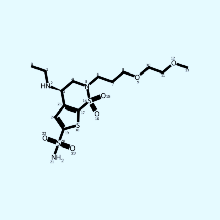 CCN[C@H]1CN(CCCOCCOC)S(=O)(=O)c2sc(S(N)(=O)=O)cc21